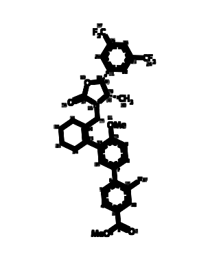 COC(=O)c1ccc(-c2ccc(OC)c(C3=C(CN4C(=O)O[C@H](c5cc(C(F)(F)F)cc(C(F)(F)F)c5)[C@@H]4C)CCCC3)c2)c(F)c1